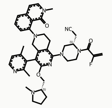 C=C(F)C(=O)N1CCN(c2nc(OC[C@@H]3CCCN3C)c(-c3c(C)ccnc3C)c3c2CCN(c2cccc4ccn(C)c(=O)c24)C3)C[C@@H]1CC#N